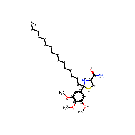 CCCCCCCCCCCCCCCCC1(c2cc(OC)c(OC)c(OC)c2)NC(C(N)=O)CS1